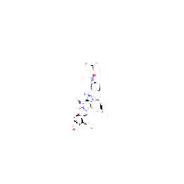 CC#CCn1c(N2CCC[C@@H](NC(=O)OC(C)(C)C)C2)nc2c1c(=O)n(Cc1ccc3c(c1C#N)OCO3)c(=O)n2C